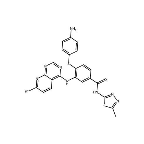 Cc1nnc(NC(=O)c2ccc(Sc3ccc(N)cc3)c(Nc3ncnc4nc(C(C)C)ccc34)c2)s1